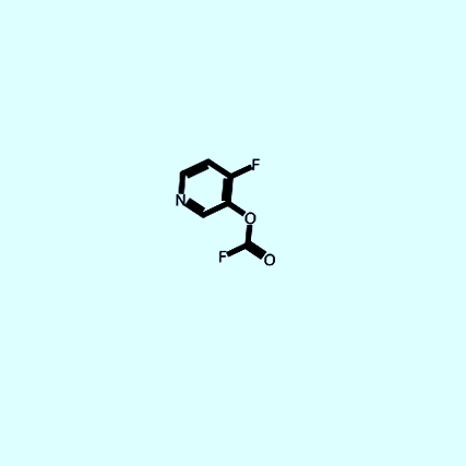 O=C(F)Oc1cnccc1F